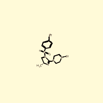 CCN1CCN(C2=N[C@H](C)CN2S(=O)(=O)c2ccc(C(C)C)cc2)CC1